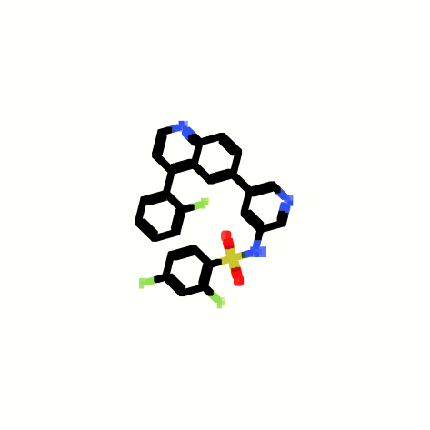 O=S(=O)(Nc1cncc(-c2ccc3nccc(-c4ccccc4F)c3c2)c1)c1ccc(F)cc1F